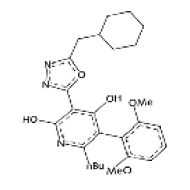 CCCCc1nc(O)c(-c2nnc(CC3CCCCC3)o2)c(O)c1-c1c(OC)cccc1OC